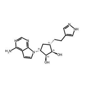 Nc1ncnc2c1ccn2[C@@H]1C[C@H](CCc2cn[nH]c2)[C@@H](O)[C@H]1O